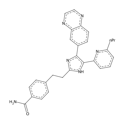 CCCc1cccc(-c2[nH]c(CCc3ccc(C(N)=O)cc3)nc2-c2ccc3nccnc3c2)n1